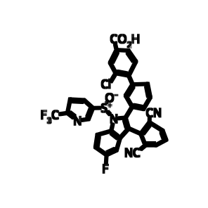 N#Cc1cccc(C#N)c1-c1c(-c2cccc(-c3ccc(C(=O)O)cc3Cl)c2)n([S+]([O-])c2ccc(C(F)(F)F)nc2)c2ccc(F)cc12